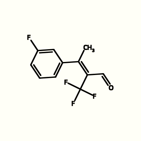 C/C(=C(\C=O)C(F)(F)F)c1cccc(F)c1